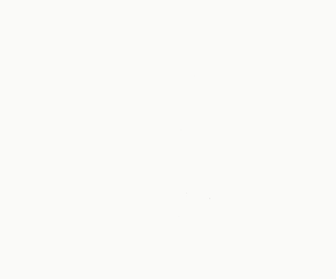 O=C(/C=C\c1ccc(Cl)cc1Cl)c1cc2cc(Cl)ccc2oc1=O